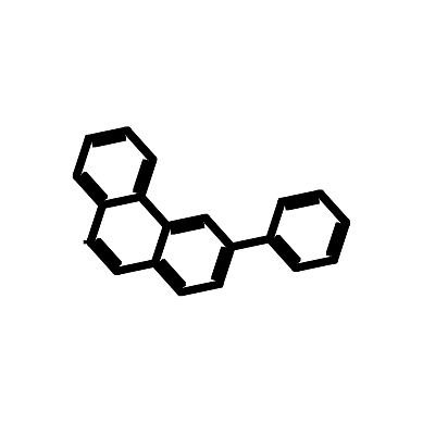 [c]1cc2ccc(-c3ccccc3)cc2c2ccccc12